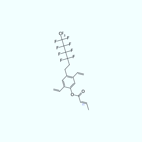 C=Cc1cc(OC(=O)/C=C/C)c(C=C)cc1CCC(F)(F)C(F)(F)C(F)(F)C(F)(F)C(F)(F)F